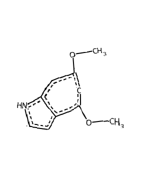 COc1cc(OC)c2c[c][nH]c2c1